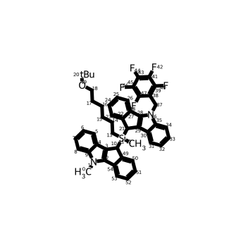 Cn1c2c(c3ccccc31)C([Si](C)(CCCCCCOC(C)(C)C)C1c3ccccc3-c3c1c1ccccc1n3Cc1c(F)c(F)c(F)c(F)c1F)c1ccccc1-2